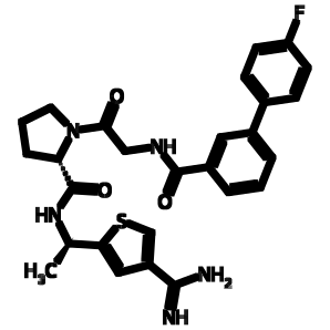 C[C@@H](NC(=O)[C@@H]1CCCN1C(=O)CNC(=O)c1cccc(-c2ccc(F)cc2)c1)c1cc(C(=N)N)cs1